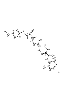 COc1ccc(CNC(=O)c2ccc(N3CCN(C(=O)Cc4c(Cl)cc(C)nc4Cl)CC3)cc2)cc1